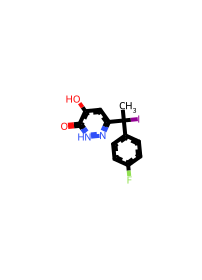 CC(I)(c1ccc(F)cc1)c1cc(O)c(=O)[nH]n1